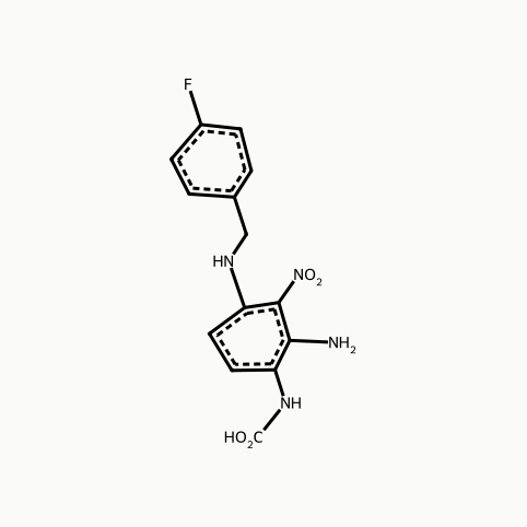 Nc1c(NC(=O)O)ccc(NCc2ccc(F)cc2)c1[N+](=O)[O-]